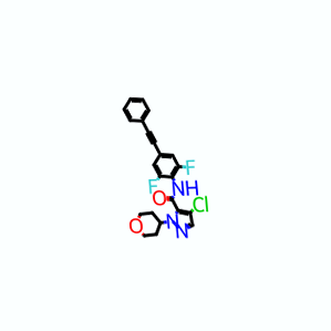 O=C(Nc1c(F)cc(C#Cc2ccccc2)cc1F)c1c(Cl)cnn1C1CCOCC1